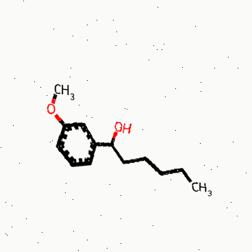 CCCCCC(O)c1cccc(OC)c1